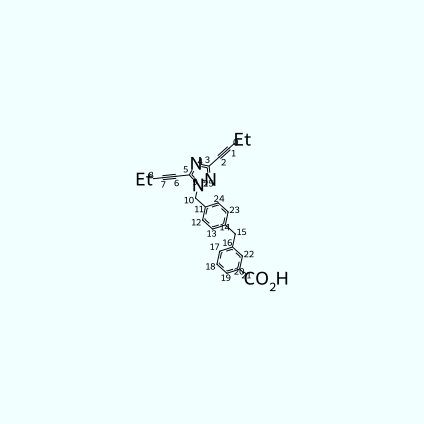 CCC#Cc1nc(C#CCC)n(Cc2ccc(Cc3cccc(C(=O)O)c3)cc2)n1